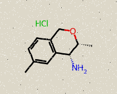 Cc1ccc2c(c1)[C@@H](N)[C@@H](C)OC2.Cl